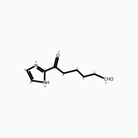 O=CCCCCC(=O)c1ncc[nH]1